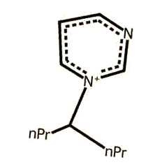 CCCC(CCC)[n+]1cccnc1